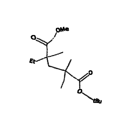 CCC(C)(CC(C)(C)C(=O)OC(C)(C)C)C(=O)OC